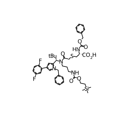 CC(C)(C)[C@H](c1cc(-c2cc(F)ccc2F)cn1Cc1ccccc1)N(CCCNC(=O)OCC[Si](C)(C)C)C(=O)CSC[C@H](NC(=O)OCc1ccccc1)C(=O)O